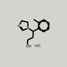 Cc1ccccc1C(CCO)N1C=NCC1.Cl